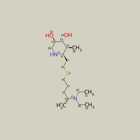 C=C(CCCSCC[C@H]1NC[C@@H](O)[C@H](O)[C@H]1C)N(CC)CC